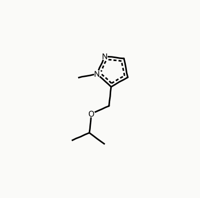 CC(C)OCc1ccnn1C